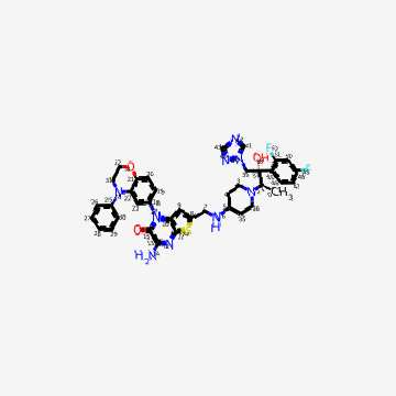 C[C@@H](N1CCC(NCc2cc3c(nc(N)c(=O)n3-c3ccc4c(c3)N(c3ccccc3)CCO4)s2)CC1)[C@@](O)(Cn1cncn1)c1ccc(F)cc1F